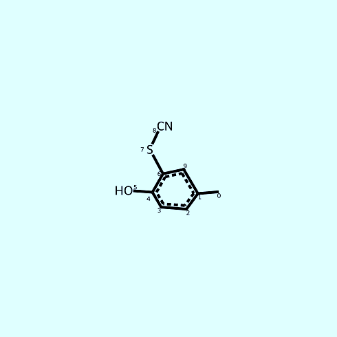 Cc1ccc(O)c(SC#N)c1